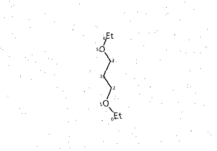 CCOC[CH]COCC